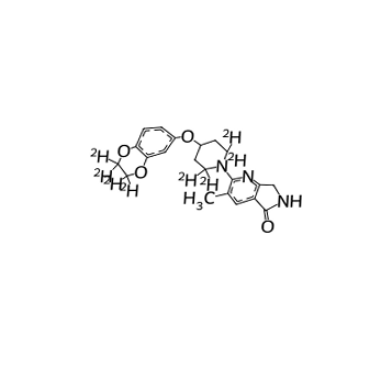 [2H]C1([2H])CC(Oc2ccc3c(c2)OC([2H])([2H])C([2H])([2H])O3)CC([2H])([2H])N1c1nc2c(cc1C)C(=O)NC2